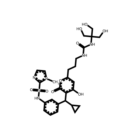 Cn1ccnc1S(=O)(=O)Nc1cccc(C(c2c(O)cc(CCCNC(=O)NC(CO)(CO)CO)oc2=O)C2CC2)c1